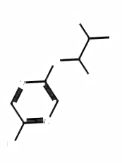 FC(F)C(F)Oc1cnc(Br)cn1